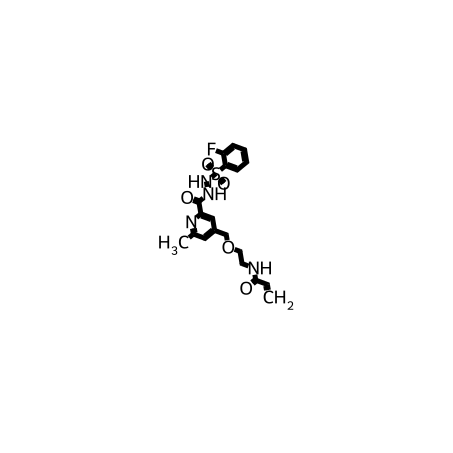 C=CC(=O)NCCOCc1cc(C)nc(C(=O)NNS(=O)(=O)c2ccccc2F)c1